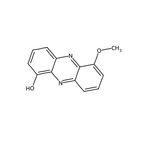 COc1cccc2nc3c(O)cccc3nc12